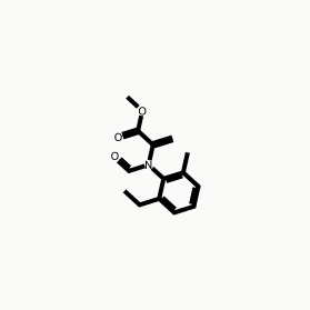 C=C(C(=O)OC)N(C=O)c1c(C)cccc1CC